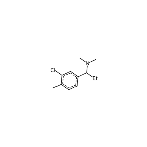 CCC(c1ccc(C)c(Cl)c1)N(C)C